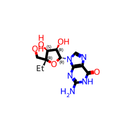 CC[C@]1(CO)O[C@@H](n2cnc3c(=O)[nH]c(N)nc32)[C@H](O)[C@@H]1O